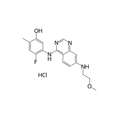 COCCNc1ccc2c(Nc3cc(O)c(C)cc3F)ncnc2c1.Cl